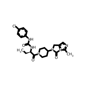 CC[C@@H](NC(=O)Nc1ccc(Cl)cc1)C(=O)N1CCC(N2Cc3cnc(C)n3C2=O)CC1